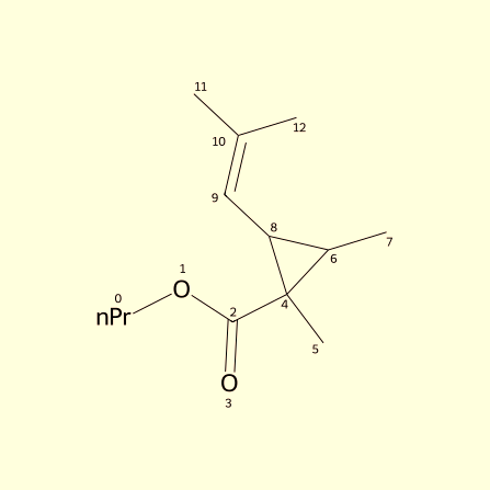 CCCOC(=O)C1(C)C(C)C1C=C(C)C